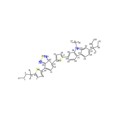 CCCC(C)(C)c1ccc(-c2ccc(-c3ccc(-c4ccc5c6ccc(C(C)(CC)CC)cc6n(C(C)C)c5c4)s3)c3nsnc23)s1